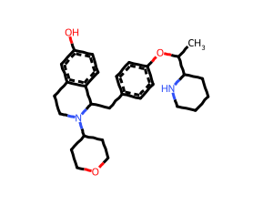 CC(Oc1ccc(CC2c3ccc(O)cc3CCN2C2CCOCC2)cc1)C1CCCCN1